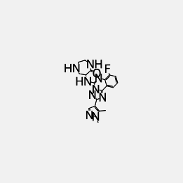 Cc1c(-c2nc3c4cccc(F)c4nc(N[C@@H]4CNCCNC4=O)n3n2)cnn1C